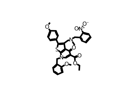 CCOC(=O)c1cn(Cc2ccccc2OC)c2sc(-c3ccc(OC)cc3)c(CN(C)Cc3ccccc3[N+](=O)[O-])c2c1=O